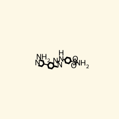 Nc1cc(-c2ccc3cnc(Nc4ccc(S(N)(=O)=O)cc4)nc3c2)ccn1